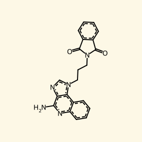 Nc1nc2ccccc2c2c1ncn2CCCN1C(=O)c2ccccc2C1=O